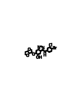 Oc1cc2c(Nc3ccc(Br)c(Cl)c3)ncnc2cc1O[C@@H]1COC2CCOC21